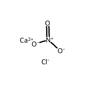 O=[N+]([O-])[O-].[Ca+2].[Cl-]